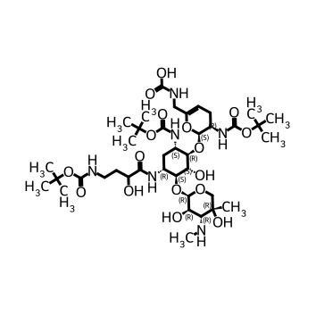 CN[C@@H]1[C@@H](O)[C@@H](O[C@@H]2[C@@H](O)[C@H](O[C@H]3OC(CNC(=O)O)=CC[C@H]3NC(=O)OC(C)(C)C)[C@@H](NC(=O)OC(C)(C)C)C[C@H]2NC(=O)C(O)CCNC(=O)OC(C)(C)C)OC[C@]1(C)O